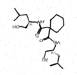 CC(C)C[C@H](CO)NC(=O)C1(C(=O)N[C@@H](CO)CC(C)C)CCCCC1